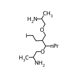 CCCC(OCC(C)N)C(CCI)COCC(C)N